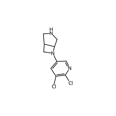 Clc1cc(N2CC3CNCC32)cnc1Cl